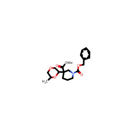 COC(=O)C1(C2COCC(C)O2)CCCN(C(=O)OCc2ccccc2)C1